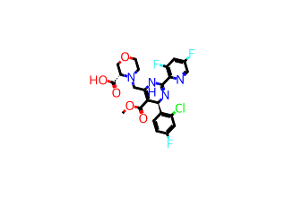 COC(=O)C1=C(CN2CCOC[C@H]2C(=O)O)NC(c2ncc(F)cc2F)=N[C@H]1c1ccc(F)cc1Cl